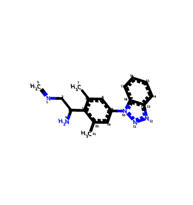 C=NCC(N)c1c(C)cc(-n2nnc3ccccc32)cc1C